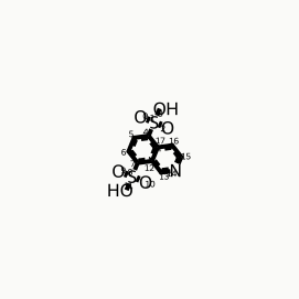 O=S(=O)(O)c1ccc(S(=O)(=O)O)c2cnccc12